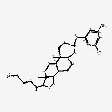 CC(C)CCCC(C)C1CCC2C3CCC4CC(Oc5cc(N)cc(N)c5)CCC4(C)C3CCC12C